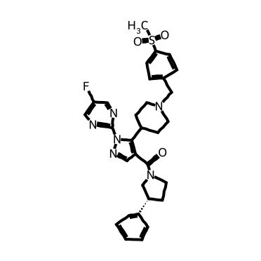 CS(=O)(=O)c1ccc(CN2CCC(c3c(C(=O)N4CC[C@H](c5ccccc5)C4)cnn3-c3ncc(F)cn3)CC2)cc1